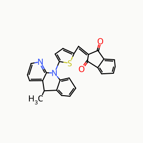 CC1c2ccccc2N(c2ccc(C=C3C(=O)c4ccccc4C3=O)s2)c2ncccc21